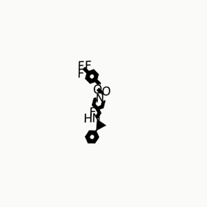 O=C(OCc1ccc(C(F)(F)F)cc1)N1CCC(F)(CN[C@@H]2C[C@H]2c2ccccc2)CC1